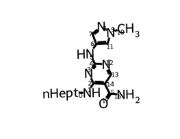 CCCCCCCNc1nc(Nc2cnn(C)c2)ncc1C(N)=O